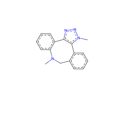 CN1Cc2ccccc2-c2c(nnn2C)-c2ccccc21